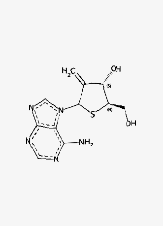 C=C1C(n2cnc3ncnc(N)c32)S[C@H](CO)[C@H]1O